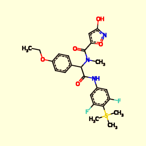 CCOc1ccc(C(C(=O)Nc2cc(F)c(S(C)(C)C)c(F)c2)N(C)C(=O)c2cc(O)no2)cc1